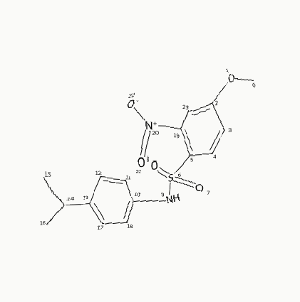 COc1ccc(S(=O)(=O)Nc2ccc(C(C)C)cc2)c([N+](=O)[O-])c1